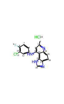 Cc1cc(Nc2ccc(F)c(Cl)c2)c2c(ccc3nc[nH]c32)n1.Cl